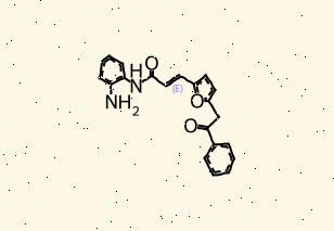 Nc1ccccc1NC(=O)/C=C/c1ccc(CC(=O)c2ccccc2)o1